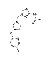 CC(=O)Nc1ncc(CN2CC[C@H](Oc3ccc(F)cn3)C2)s1